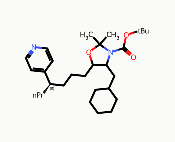 CCC[C@H](CCCC1OC(C)(C)N(C(=O)OC(C)(C)C)C1CC1CCCCC1)c1ccncc1